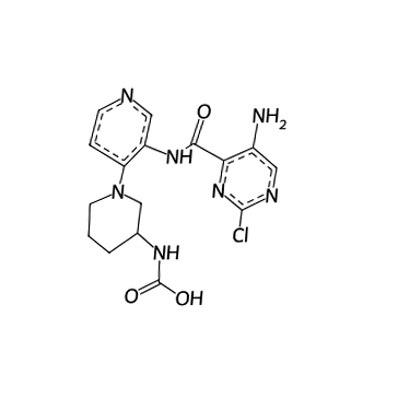 Nc1cnc(Cl)nc1C(=O)Nc1cnccc1N1CCCC(NC(=O)O)C1